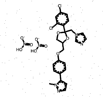 Cn1nccc1-c1ccc(OCC2COC(Cn3ccnc3)(c3ccc(Cl)cc3Cl)O2)cc1.O=[N+]([O-])O.O=[N+]([O-])O